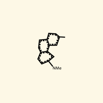 CNc1ccc2ccc3ccc(C)cc3c2c1